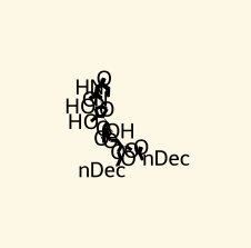 CCCCCCCCCCCC(=O)OC[C@@H](COP(=O)(O)OC[C@H]1O[C@@H](n2ccc(=O)[nH]c2=O)C(O)C1O)OC(=O)CCCCCCCCCCC